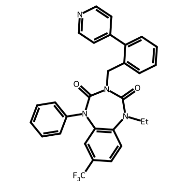 CCN1C(=O)N(Cc2ccccc2-c2ccncc2)C(=O)N(c2ccccc2)c2cc(C(F)(F)F)ccc21